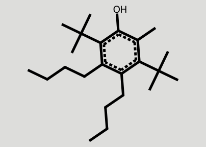 CCCCc1c(CCCC)c(C(C)(C)C)c(O)c(C)c1C(C)(C)C